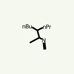 C=NC(C)C(CCC)CCCC